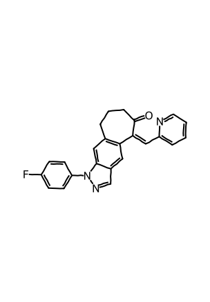 O=C1CCCc2cc3c(cnn3-c3ccc(F)cc3)cc2C1=Cc1ccccn1